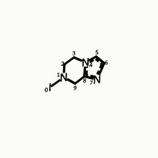 IN1CCn2ccnc2C1